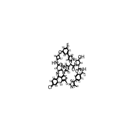 Cc1ncsc1-c1ccc([C@H](C)NC(=O)[C@@H]2C[C@@H](O)CN2C(=O)[C@@H](C(C)C)n2cc(-c3cc(F)cc(O[C@H]4C[C@H](NC(=O)C[C@@H]5N=C(c6ccc(Cl)cc6)c6c(sc(C)c6C)-n6c(C)nnc65)C4)c3)cn2)cc1